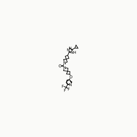 O=C(N1CC2(CC(Oc3ccc(C(F)(F)F)nc3)C2)C1)N1CC2(CC(c3nnc(C4CC4)[nH]3)C2)C1